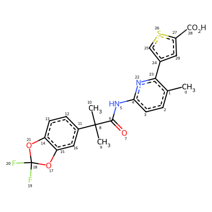 Cc1ccc(NC(=O)C(C)(C)c2ccc3c(c2)OC(F)(F)O3)nc1-c1csc(C(=O)O)c1